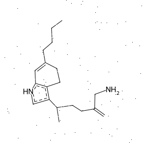 C=C(CN)CCC(C)c1c[nH]c2c1CCC(CCCC)=C2